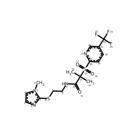 Cn1ccnc1SCCNC(=O)C(C)(C)S(=O)(=O)c1ccc(C(F)(F)F)cn1